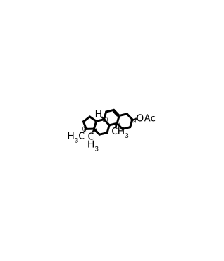 CC(=O)O[C@H]1CC[C@@]2(C)C(=CC[C@@H]3C2CC[C@@]2(C)C3CC[C@@H]2C)C1